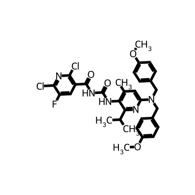 COc1ccc(CN(Cc2ccc(OC)cc2)c2cc(C)c(NC(=O)NC(=O)c3cc(F)c(Cl)nc3Cl)c(C(C)C)n2)cc1